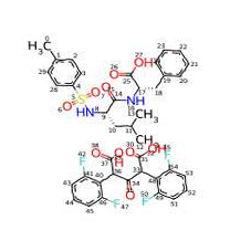 Cc1ccc(S(=O)(=O)N[C@@H](CC(C)C)C(=O)N[C@@H](Cc2ccccc2)C(=O)O)cc1.O=C(O)C(C(=O)C(C(=O)O)c1c(F)cccc1F)c1c(F)cccc1F